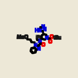 COCCCCn1c(C(=O)N(CC(C)C)[C@H]2C[C@@H](c3nnc[nH]3)CN(C(=O)OC(C)(C)C)C2)nc2ccccc21